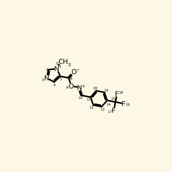 Cn1cncc1C(=O)ON=Cc1ccc(C(F)(F)F)cc1